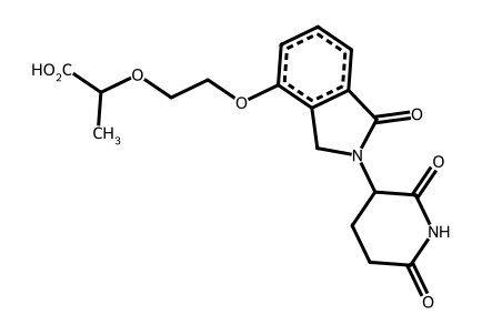 CC(OCCOc1cccc2c1CN(C1CCC(=O)NC1=O)C2=O)C(=O)O